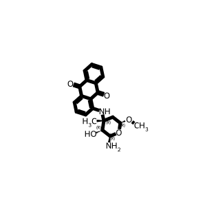 CO[C@H]1C[C@@](C)(Nc2cccc3c2C(=O)c2ccccc2C3=O)[C@@H](O)[C@H](N)O1